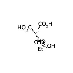 CCC(CO)(CO)COC(=O)C=CC(C=CC(=O)O)CC=CC(=O)O